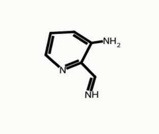 N=Cc1ncccc1N